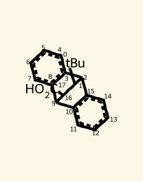 CC(C)(C)C1C2c3ccccc3C(c3ccccc32)C1C(=O)O